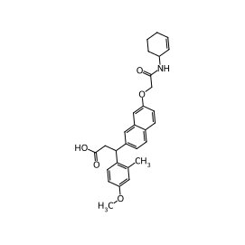 COc1ccc(C(CC(=O)O)c2ccc3ccc(OCC(=O)NC4C=CCCC4)cc3c2)c(C)c1